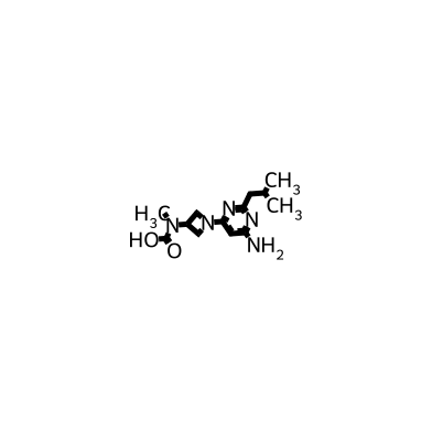 CC(C)Cc1nc(N)cc(N2CC(N(C)C(=O)O)C2)n1